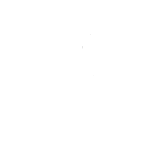 CSc1nccc(C(C=O)c2cccc(OCc3ccc(Cl)cc3)c2)n1